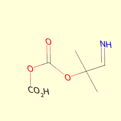 CC(C)(C=N)OC(=O)OC(=O)O